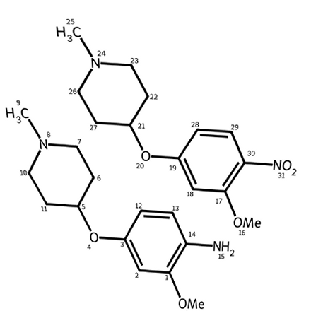 COc1cc(OC2CCN(C)CC2)ccc1N.COc1cc(OC2CCN(C)CC2)ccc1[N+](=O)[O-]